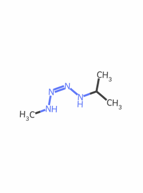 CN/N=N\NC(C)C